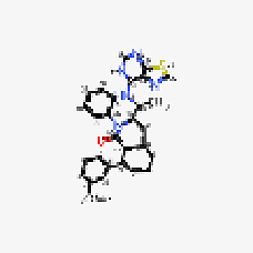 COc1cccc(-c2cccc3cc([C@H](C)Nc4ncnc5scnc45)n(-c4ccccc4)c(=O)c23)c1